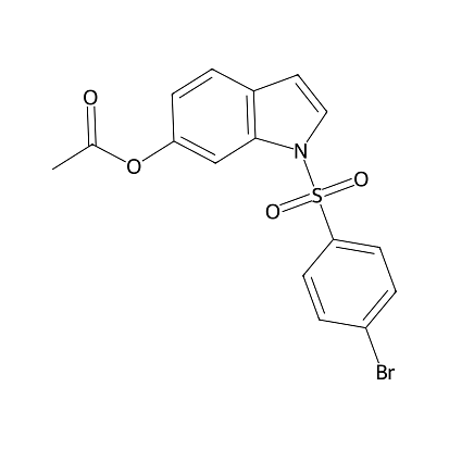 CC(=O)Oc1ccc2ccn(S(=O)(=O)c3ccc(Br)cc3)c2c1